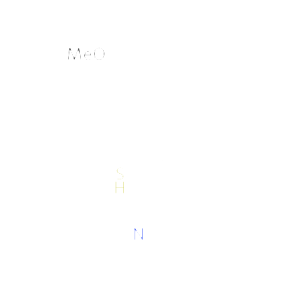 COCC[SH]1C(C)=NC(C)=C1C